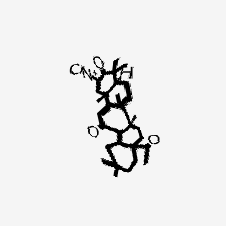 [C-]#[N+]C1=CC2(C)C3=CC(=O)C4C5CC(C)(C)CCC5(C(C)=O)CC[C@@]4(C)C3(C)CC[C@H]2C(C)(C)C1=O